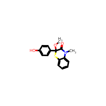 COC1(c2ccc(O)cc2)Sc2ccccc2N(C)C1=O